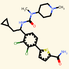 CN1CCC(N(C)C(=O)NC(CC2CC2)c2ccc(-c3ccc(C(N)=O)s3)c(Cl)c2Cl)CC1